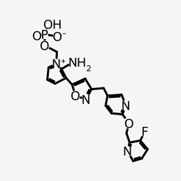 Nc1c(-c2cc(Cc3ccc(OCc4ncccc4F)nc3)no2)ccc[n+]1COP(=O)([O-])O